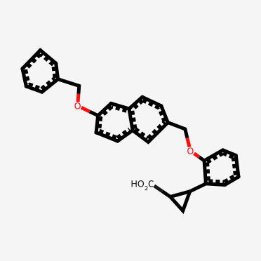 O=C(O)C1CC1c1ccccc1OCc1ccc2cc(OCc3ccccc3)ccc2c1